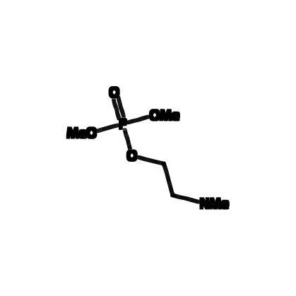 CNCCOP(=O)(OC)OC